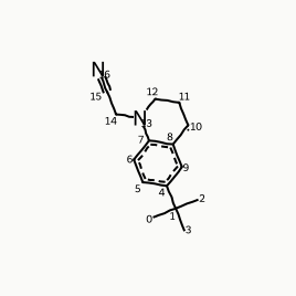 CC(C)(C)c1ccc2c(c1)[CH]CCN2CC#N